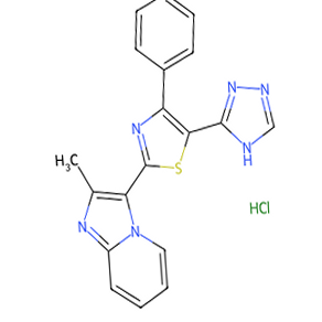 Cc1nc2ccccn2c1-c1nc(-c2ccccc2)c(-c2nnc[nH]2)s1.Cl